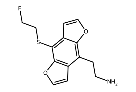 NCCc1c2ccoc2c(SCCF)c2ccoc12